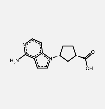 Nc1nccc2c1ccn2[C@@H]1CC[C@@H](C(=O)O)C1